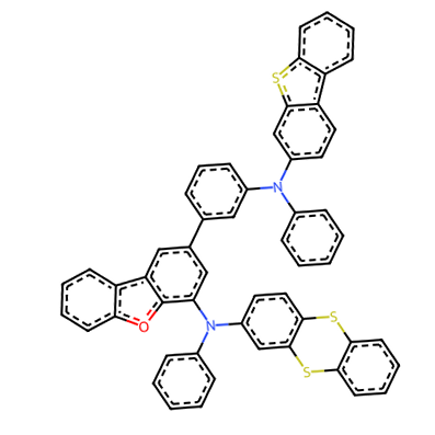 c1ccc(N(c2cccc(-c3cc(N(c4ccccc4)c4ccc5c(c4)Sc4ccccc4S5)c4oc5ccccc5c4c3)c2)c2ccc3c(c2)sc2ccccc23)cc1